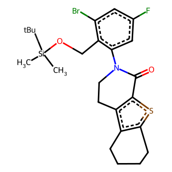 CC(C)(C)[Si](C)(C)OCc1c(Br)cc(F)cc1N1CCc2c(sc3c2CCCC3)C1=O